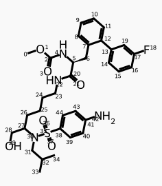 COC(=O)N[C@@H](Cc1ccccc1-c1cccc(F)c1)C(=O)NCCCCC(CO)N(CC(C)C)S(=O)(=O)c1ccc(N)cc1